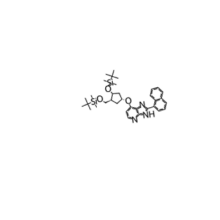 CC(C)(C)[Si](C)(C)OC[C@@H]1C[C@@H](Oc2ccnc3[nH]c(-c4cccc5ccccc45)nc23)C[C@@H]1O[Si](C)(C)C(C)(C)C